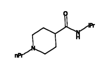 CCCN1CCC(C(=O)NC(C)C)CC1